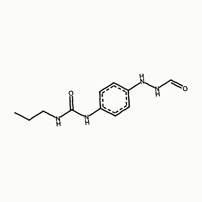 CCCNC(=O)Nc1ccc(NNC=O)cc1